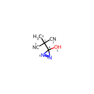 CC(C#N)(C#N)C1(O)N=N1